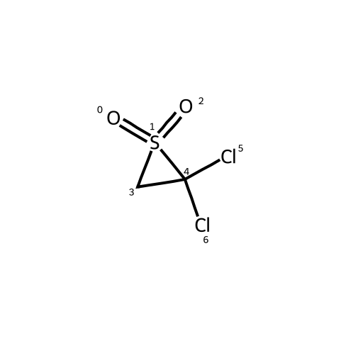 O=S1(=O)CC1(Cl)Cl